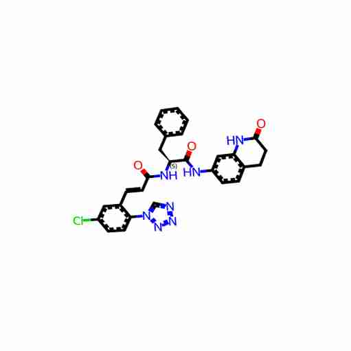 O=C(C=Cc1cc(Cl)ccc1-n1cnnn1)N[C@@H](Cc1ccccc1)C(=O)Nc1ccc2c(c1)NC(=O)CC2